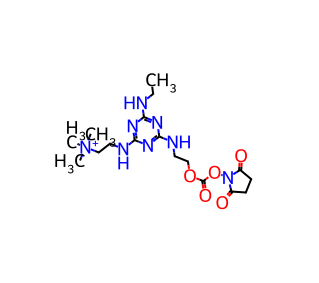 CCNc1nc(NCCOC(=O)ON2C(=O)CCC2=O)nc(NCC[N+](C)(C)C)n1